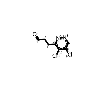 O=[C]CCc1nncc(Cl)c1Cl